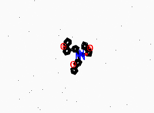 c1cc(-c2nc(-c3ccc4c(c3)oc3ccccc34)nc(-c3cccc4oc5ccccc5c34)n2)cc(-c2cccc3oc4ccccc4c23)c1